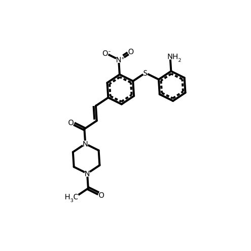 CC(=O)N1CCN(C(=O)/C=C/c2ccc(Sc3ccccc3N)c([N+](=O)[O-])c2)CC1